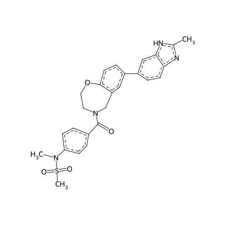 Cc1nc2ccc(-c3ccc4c(c3)CN(C(=O)c3ccc(N(C)S(C)(=O)=O)cc3)CCO4)cc2[nH]1